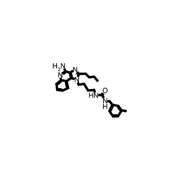 CCCCc1nc2c(N)nc3ccccc3c2n1CCCCNC(=O)NCc1cccc(C)c1